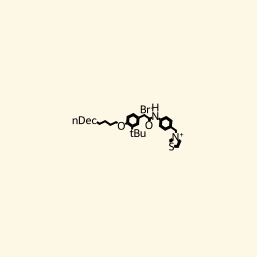 CCCCCCCCCCCCCCOc1ccc(CC(=O)Nc2ccc(C[n+]3ccsc3)cc2)cc1C(C)(C)C.[Br-]